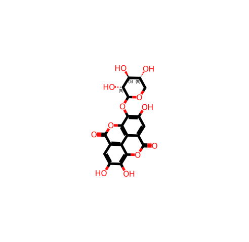 O=c1oc2c(OC3OC[C@@H](O)[C@H](O)[C@H]3O)c(O)cc3c(=O)oc4c(O)c(O)cc1c4c23